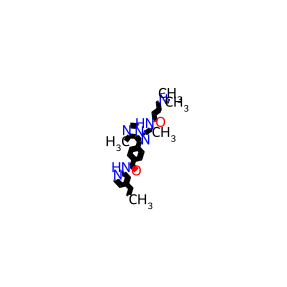 CCCc1ccnc(NC(=O)c2ccc(-c3nc(C(C)NC(=O)C=CCN(C)C)n4ccnc(C)c34)cc2)c1